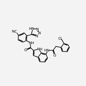 N#Cc1ccc(NC(=O)c2cc3cccc(NC(=O)Cc4ccccc4Cl)c3[nH]2)c(-c2nnn[nH]2)c1